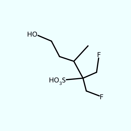 CC(CCO)C(CF)(CF)S(=O)(=O)O